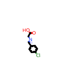 O=C(O)C/N=C/c1ccc(Cl)cc1